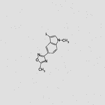 Cc1nc(-c2ccc3c(c2)c(I)cn3C)no1